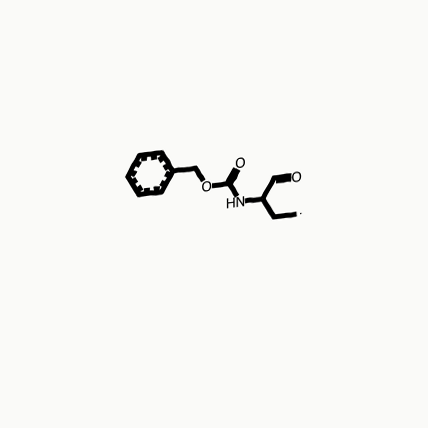 [CH2]CC(C=O)NC(=O)OCc1ccccc1